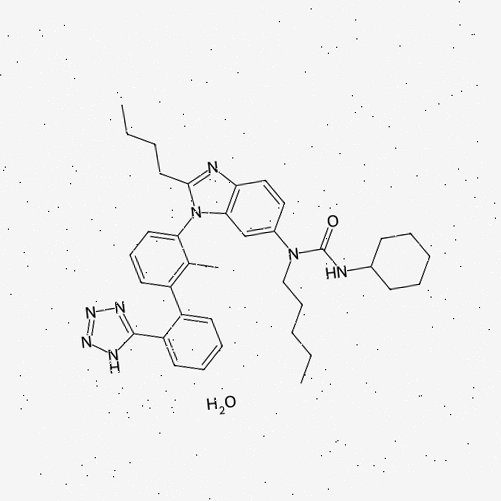 CCCCCN(C(=O)NC1CCCCC1)c1ccc2nc(CCCC)n(-c3cccc(-c4ccccc4-c4nnn[nH]4)c3C)c2c1.O